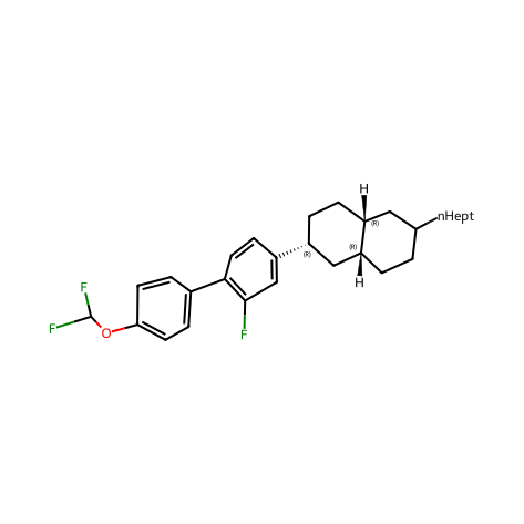 CCCCCCCC1CC[C@@H]2C[C@H](c3ccc(-c4ccc(OC(F)F)cc4)c(F)c3)CC[C@@H]2C1